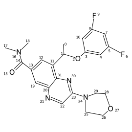 CC(Oc1cc(F)cc(F)c1)c1cc(C(=O)N(C)C)cc2ncc(N3CCOCC3)nc12